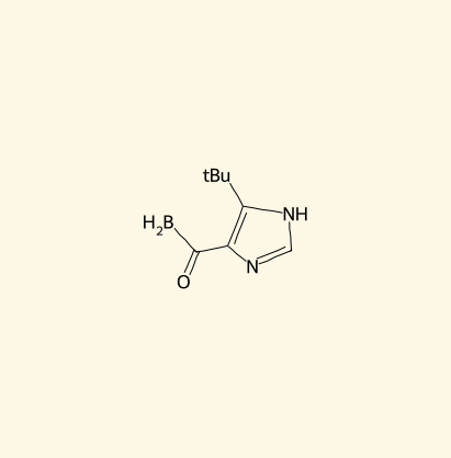 BC(=O)c1nc[nH]c1C(C)(C)C